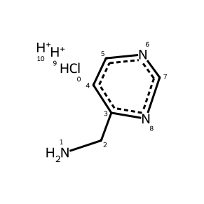 Cl.NCc1ccncn1.[H+].[H+]